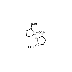 CCCCCCCCN1CCC[C@H]1C(=O)O.O=C(O)[C@@H]1CCCN1